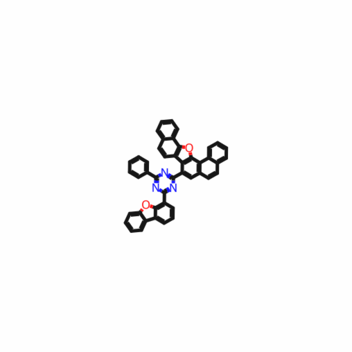 c1ccc(-c2nc(-c3cccc4c3oc3ccccc34)nc(-c3cc4ccc5ccccc5c4c4oc5c6ccccc6ccc5c34)n2)cc1